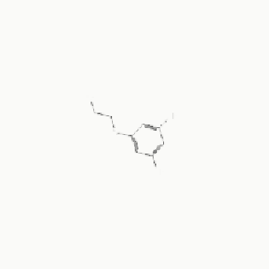 CC(C)(C)c1cc(NCCO)cc(C(C)(C)C)c1